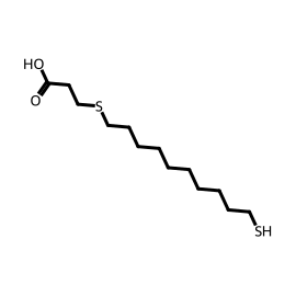 O=C(O)CCSCCCCCCCCCCS